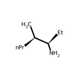 [CH2]C[C@@H](N)[C@H](C)CCC